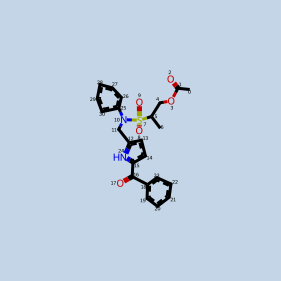 CC(=O)OCC(C)S(=O)(=O)N(Cc1ccc(C(=O)c2ccccc2)[nH]1)c1ccccc1